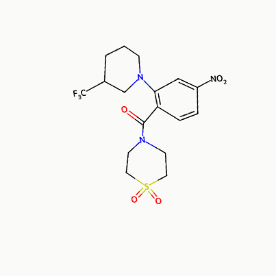 O=C(c1ccc([N+](=O)[O-])cc1N1CCCC(C(F)(F)F)C1)N1CCS(=O)(=O)CC1